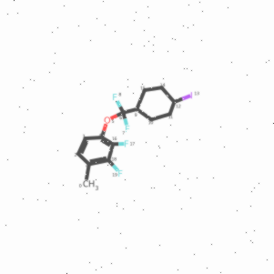 Cc1ccc(OC(F)(F)C2CCC(I)CC2)c(F)c1F